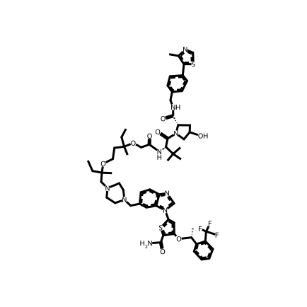 CCC(C)(CCOC(C)(CC)CN1CCN(Cc2ccc3ncn(-c4cc(O[C@H](C)c5ccccc5C(F)(F)F)c(C(N)=O)s4)c3c2)CC1)OCC(=O)N[C@H](C(=O)N1CC(O)C[C@H]1C(=O)NCc1ccc(-c2scnc2C)cc1)C(C)(C)C